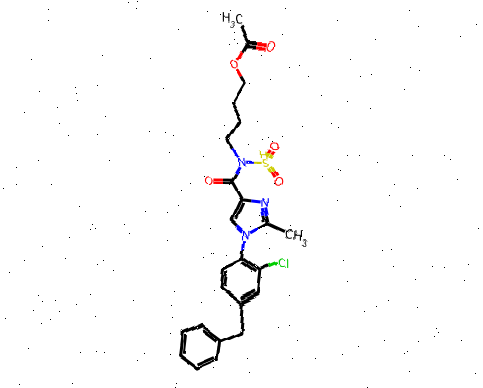 CC(=O)OCCCCN(C(=O)c1cn(-c2ccc(Cc3ccccc3)cc2Cl)c(C)n1)[SH](=O)=O